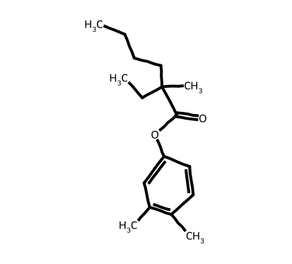 CCCCC(C)(CC)C(=O)Oc1ccc(C)c(C)c1